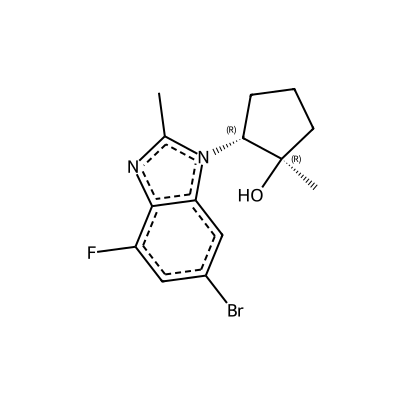 Cc1nc2c(F)cc(Br)cc2n1[C@@H]1CCC[C@@]1(C)O